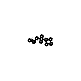 c1cc(-c2c3ccccc3c(-c3ccc4c(c3)-c3ccccc3-c3ccccc3-c3ccccc3-4)c3ccccc23)cc(-c2cccc3c2sc2ccccc23)c1